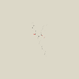 CCCCCCCCC(C(=O)CCCC)C(=O)CCCC